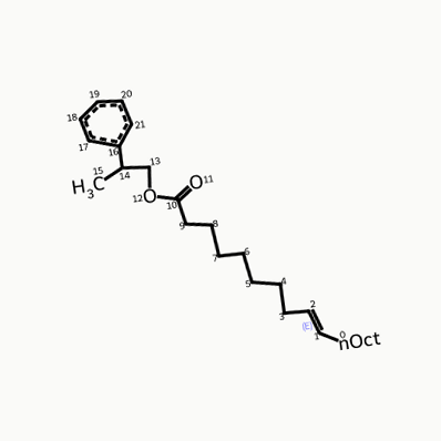 CCCCCCCC/C=C/CCCCCCCC(=O)OCC(C)c1ccccc1